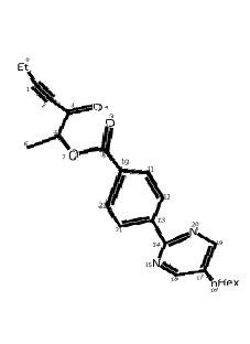 CCC#CC(=O)C(C)OC(=O)c1ccc(-c2ncc(CCCCCC)cn2)cc1